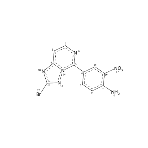 Nc1ccc(-c2nccc3nc(Br)nn23)cc1[N+](=O)[O-]